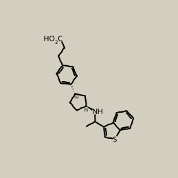 CC(N[C@H]1CC[C@H](c2ccc(CCC(=O)O)cc2)C1)c1csc2ccccc12